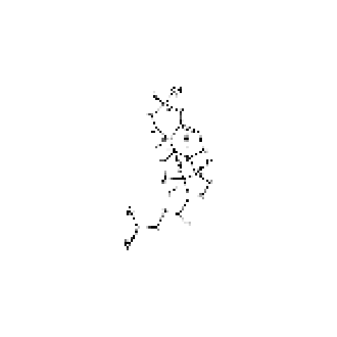 CC(C)[C@@H](O)CC[C@@H](C)[C@H]1CC[C@H]2[C@@H]3CC=C4C[C@@](C)(O)CC[C@]4(C)[C@H]3CC[C@]12C